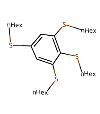 CCCCCCSc1cc(SCCCCCC)c(SCCCCCC)c(SCCCCCC)c1